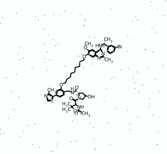 COc1cc2c(N[C@H](C)c3cccc(Br)c3)nc(C)nc2cc1OCCCCCCCCCOc1cc(-c2scnc2C)ccc1CNC(=O)[C@@H]1C[C@@H](O)CN1C(=O)[C@@H](NC(C)=O)C(C)(C)C